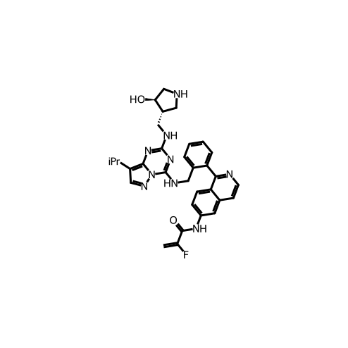 C=C(F)C(=O)Nc1ccc2c(-c3ccccc3CNc3nc(NC[C@H]4CNC[C@@H]4O)nc4c(C(C)C)cnn34)nccc2c1